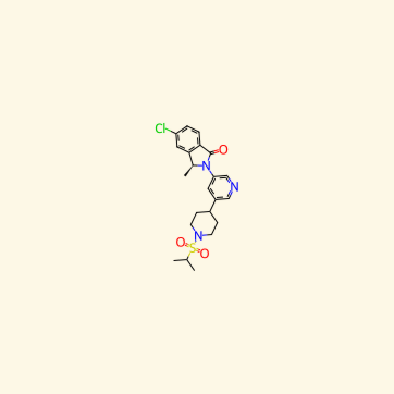 CC(C)S(=O)(=O)N1CCC(c2cncc(N3C(=O)c4ccc(Cl)cc4[C@@H]3C)c2)CC1